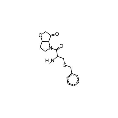 NC(CSCc1ccccc1)C(=O)N1CCC2OCC(=O)C21